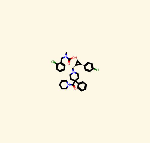 CN(Cc1ccccc1Cl)C(=O)O.O=C(N1CCCCC1)C1(c2ccccc2)CCN(C[C@@H]2C[C@@H]2c2ccc(Cl)cc2)CC1